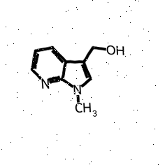 Cn1cc(CO)c2cccnc21